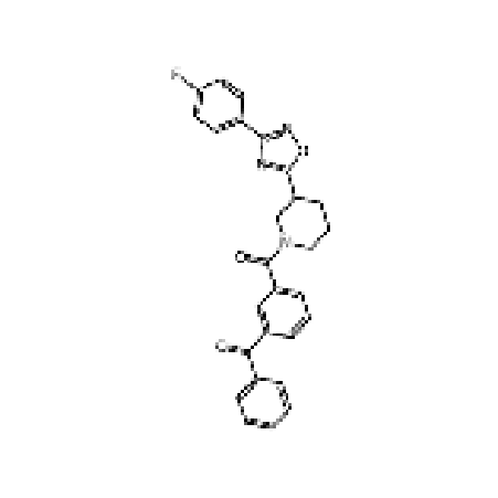 O=C(c1ccccc1)c1cccc(C(=O)N2CCCC(c3nc(-c4ccc(F)cc4)no3)C2)c1